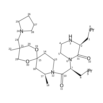 CC(C)C[C@@H]1NCCN([C@@H](CC(C)C)C(=O)N2CCC3(C[C@@H]2C)OCC(C)(CN2CCCC2)CO3)C1=O